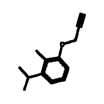 C#CCOc1cccc(C(C)C)c1C